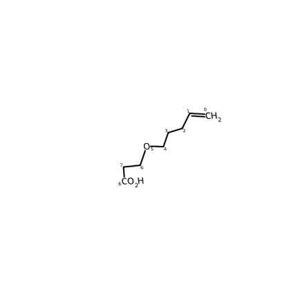 C=CCCCOCCC(=O)O